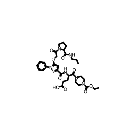 CCCNC(=O)C1CCCN1C(=O)COc1cc(C(=O)NC(CCC(=O)O)C(=O)N2CCN(C(=O)OCC)CC2)nn1-c1ccccc1